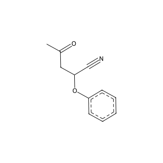 CC(=O)CC(C#N)Oc1ccccc1